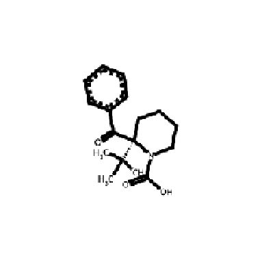 CC(C)(C)[C@]1(C(=O)c2ccccc2)CCCCN1C(=O)O